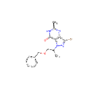 Cc1nc2c(Br)nn(C(C)COCc3ccccc3)c2c(=O)[nH]1